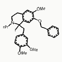 CCCN1CCc2cc(OC)c(OCc3ccccc3)cc2C1(I)Cc1ccc(OC)c(OC)c1